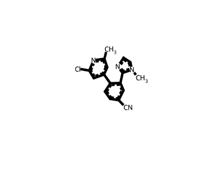 Cc1cc(-c2ccc(C#N)cc2-c2nccn2C)cc(Cl)n1